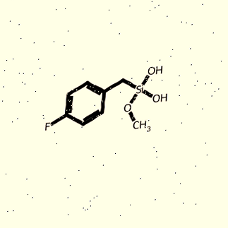 CO[Si](O)(O)Cc1ccc(F)cc1